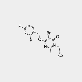 Cc1nc(OCc2ccc(F)cc2F)c(Br)c(=O)n1CC1CC1